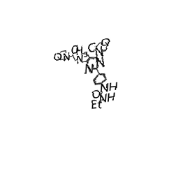 CCNC(=O)Nc1ccc(-c2nc3c(c(N4CCOCC4C)n2)CCN(CC(=O)N2CCOCC2)C3)cc1